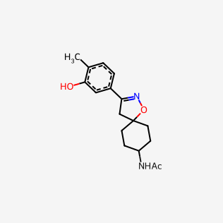 CC(=O)NC1CCC2(CC1)CC(c1ccc(C)c(O)c1)=NO2